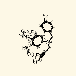 CCC#CCN(Cc1ccc(F)cc1)c1ccc(NC(=O)OCC)c(NC(=O)OCC)c1